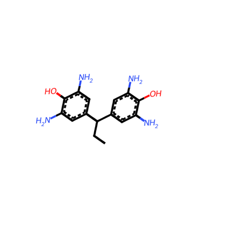 CCC(c1cc(N)c(O)c(N)c1)c1cc(N)c(O)c(N)c1